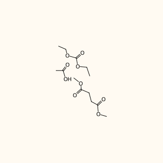 CC(=O)O.CCOC(=O)OCC.COC(=O)CCC(=O)OC